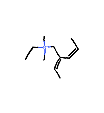 C/C=C\C(=C/C)C[N+](C)(C)CC